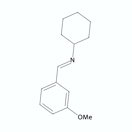 COc1cccc(C=NC2CCCCC2)c1